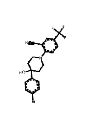 N#Cc1cc(C(F)(F)F)ccc1N1CCC(O)(c2ccc(Br)cc2)CC1